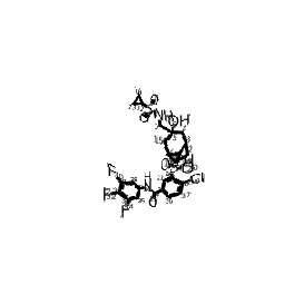 C[C@H]1CC2C[C@@](O)(CNS(=O)(=O)C3CC3)CC1[C@@H]2S(=O)(=O)c1cc(C(=O)Nc2cc(F)c(F)c(F)c2)ccc1Cl